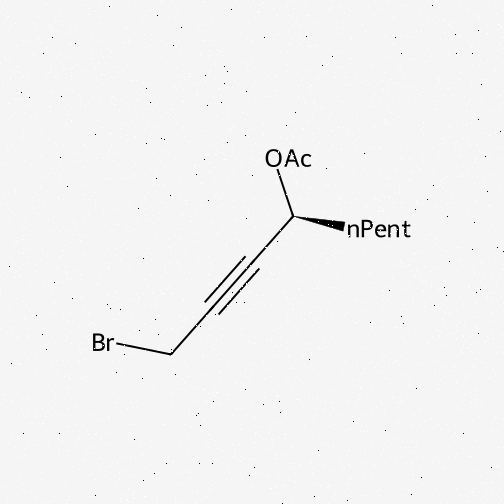 CCCCC[C@@H](C#CCBr)OC(C)=O